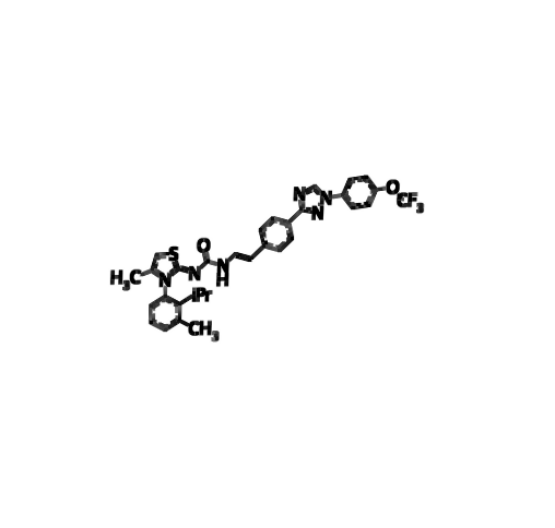 Cc1cccc(-n2c(C)cs/c2=N\C(=O)N/C=C/c2ccc(-c3ncn(-c4ccc(OC(F)(F)F)cc4)n3)cc2)c1C(C)C